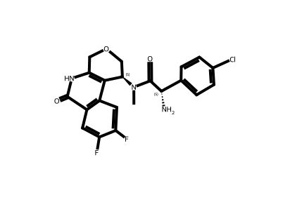 CN(C(=O)[C@@H](N)c1ccc(Cl)cc1)[C@@H]1COCc2[nH]c(=O)c3cc(F)c(F)cc3c21